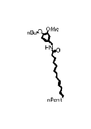 CCCCC/C=C/C/C=C/CCCCCCCC(=O)NCc1ccc(OCCCC)c(OC)c1